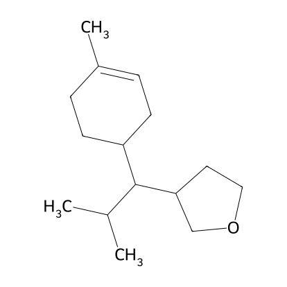 CC1=CCC(C(C(C)C)C2CCOC2)CC1